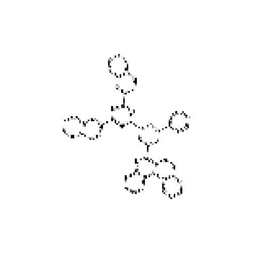 c1ccc(-c2cc(-c3nc(-c4ccc5ccccc5c4)nc(-c4ccc5ccccc5c4)n3)cc(-c3nc4ccccc4c4c3ccc3ccccc34)c2)cc1